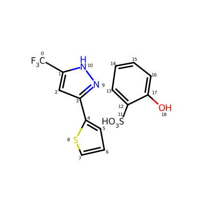 FC(F)(F)c1cc(-c2cccs2)n[nH]1.O=S(=O)(O)c1ccccc1O